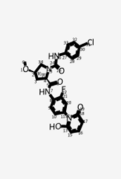 CO[C@@H]1C[C@H](C(=O)Nc2ccc(-n3c(O)cccc3=O)cc2F)N(C(=O)Nc2ccc(Cl)cc2)C1